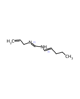 C=CC/N=C/N/C=C/CCC